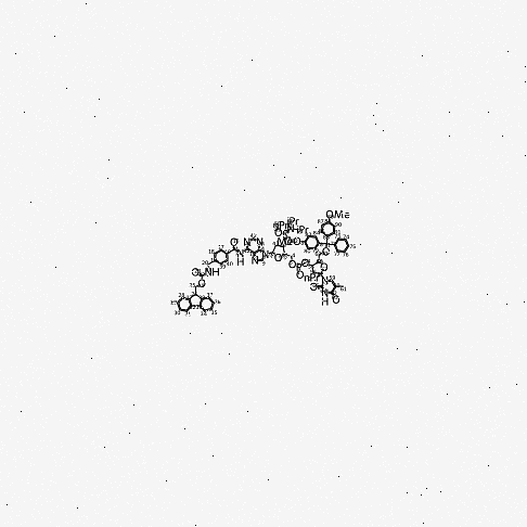 CCCOP(OC[C@H]1O[C@@H](n2cnc3c(NC(=O)c4ccc(CNC(=O)OCC5c6ccccc6-c6ccccc65)cc4)ncnc32)CC1OP(OCCC)N(C(C)C)C(C)C)OC1C[C@H](n2cc(C)c(=O)[nH]c2=O)O[C@@H]1COC(c1ccccc1)(c1ccc(OC)cc1)c1ccc(OC)cc1